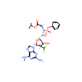 CNc1nc(N)nc2c1ncn2[C@@H]1O[C@H](COP(=O)(N[C@@H](C)C(=O)OC(C)C)Oc2ccccc2)[C@@H](O)[C@]1(F)C(F)F